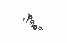 C[C@H]1C[C@@H](c2ccc(F)cc2C(F)(F)F)CCN1S(=O)(=O)c1cccc(N2CCN(C)CC2)c1